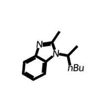 CCCCC(C)n1c(C)nc2ccccc21